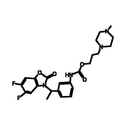 CC(c1cccc(NC(=O)OCCCN2CCN(C)CC2)c1)n1c(=O)oc2cc(F)c(F)cc21